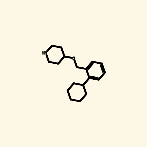 c1ccc(C2CCCCC2)c(COC2CCNCC2)c1